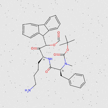 CN(C(=O)OC(C)(C)C)[C@@H](Cc1ccccc1)C(=O)N[C@@H](CCCCN)C(=O)C(O[C]=O)C1c2ccccc2-c2ccccc21